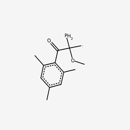 [CH2]C(P)(OC)C(=O)c1c(C)cc(C)cc1C